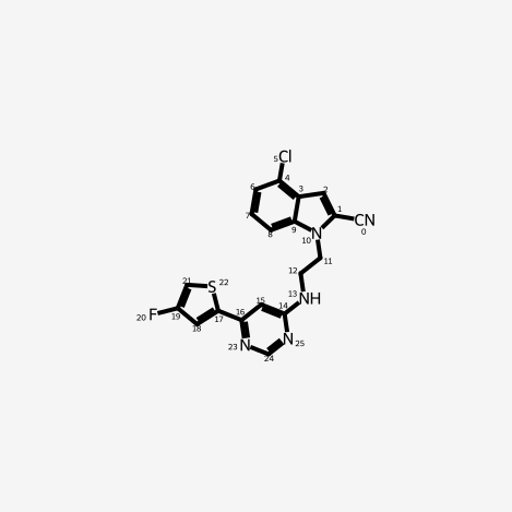 N#Cc1cc2c(Cl)cccc2n1CCNc1cc(-c2cc(F)cs2)ncn1